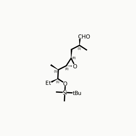 CC[C@H](O[Si](C)(C)C(C)(C)C)[C@@H](C)[C@H]1O[C@@H]1C[C@H](C)C=O